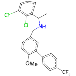 COc1ccc(CNC(C)c2cccc(Cl)c2Cl)cc1-c1ccc(C(F)(F)F)cc1